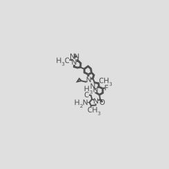 CCC1[C@H](N)C(C)CN1C(=O)c1cc(F)c2c(C)c(-c3cc4ccc(-c5ccn6c(C)nnc6c5)cc4n3CC3CC3)nn2c1